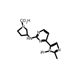 Cc1ncc(-c2ccnc(NC3CCN(C(=O)O)C3)n2)n1C(C)C